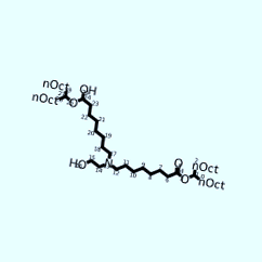 CCCCCCCCC(CCCCCCCC)OC(=O)CCCCCCCN(CCO)CCCCCCCC(O)OC(CCCCCCCC)CCCCCCCC